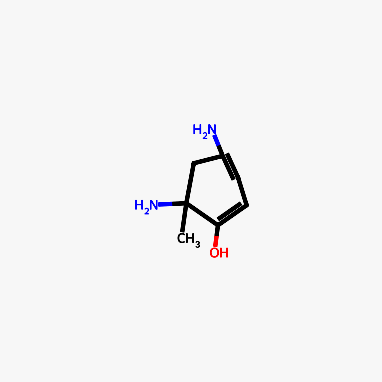 CC1(N)CC(N)=CC=C1O